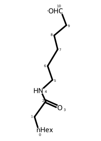 CCCCCCCC(=O)NCCCCC[C]=O